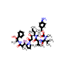 CC[C@H](C)[C@H](C(CC(=O)N1CCC[C@H]1C(P)C(C)C(=O)NC(C)C(O)c1ccccc1)OC)N(C)C(=O)[C@@H](NC(=O)[C@H](C(C)C)N(C)C(=O)OCc1ccc(N)cc1)C(C)C